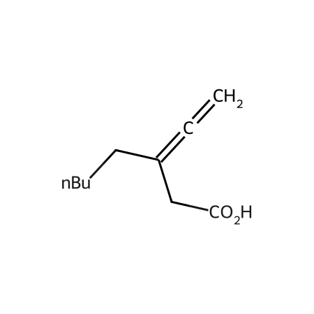 C=C=C(CCCCC)CC(=O)O